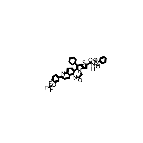 CN1C(=O)Cn2c(c(C3CCCCC3)c3sc(C(=O)NS(=O)(=O)c4ccccc4)cc32)-c2ccc3nc(-c4cccc(OC(F)(F)F)c4)ccc3c21